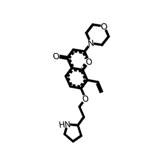 C=Cc1c(OCCC2CCCN2)ccc2c(=O)cc(N3CCOCC3)oc12